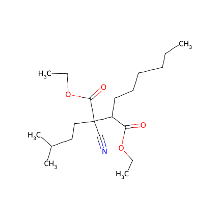 CCCCCCC(C(=O)OCC)C(C#N)(CCC(C)C)C(=O)OCC